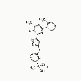 Cc1ccccc1-c1nc(N)c(F)c(-c2cn(Cc3cccc(C(C)(C)O)n3)nn2)n1